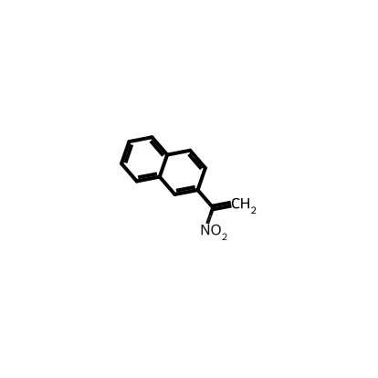 C=C(c1ccc2ccccc2c1)[N+](=O)[O-]